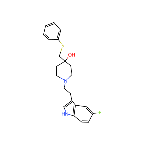 OC1(CSc2ccccc2)CCN(CCc2c[nH]c3ccc(F)cc23)CC1